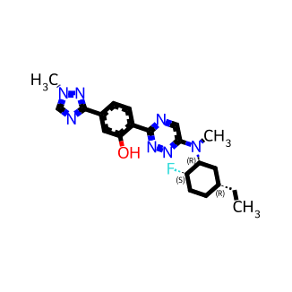 CC[C@@H]1CC[C@H](F)[C@H](N(C)c2cnc(-c3ccc(-c4ncn(C)n4)cc3O)nn2)C1